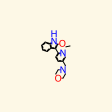 CCOc1[nH]c2ccccc2c1-c1ccc(CN2CCOCC2)cn1